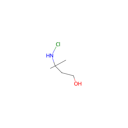 CC(C)(CCO)NCl